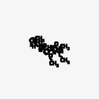 [2H]C([2H])(CNS(=O)(=O)c1ccc(OCCC)c(-c2nc3c(CCC)nn(C)c3c(=O)[nH]2)c1)C1CCCN1C